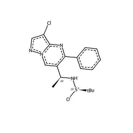 C[C@H](N[S@+]([O-])C(C)(C)C)c1cn2ncc(Cl)c2nc1-c1ccccc1